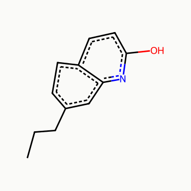 CCCc1ccc2ccc(O)nc2c1